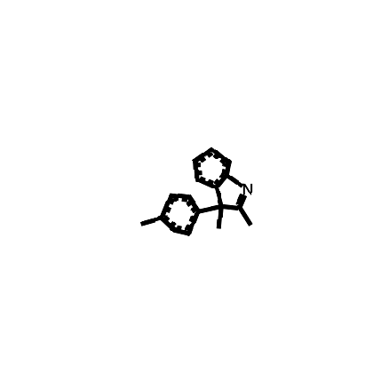 CC1=Nc2ccccc2C1(C)c1ccc(C)cc1